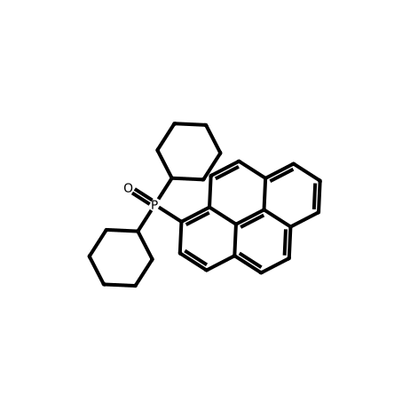 O=P(c1ccc2ccc3cccc4ccc1c2c34)(C1CCCCC1)C1CCCCC1